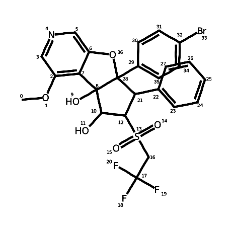 COc1cncc2c1C1(O)C(O)C(S(=O)(=O)CC(F)(F)F)C(c3ccccc3)C1(c1ccc(Br)cc1)O2